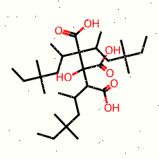 CCC(C)(C)CC(C)C(C(=O)O)C(O)(C(=O)O)C(C(=O)O)(C(C)CC(C)(C)CC)C(C)CC(C)(C)CC